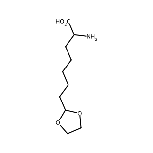 NC(CCCCCC1OCCO1)C(=O)O